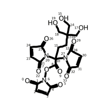 O=C1C=CC(=O)N1OC(=O)C(CCC(CO)(CO)CO)(N1C(=O)C=CC1=O)N1C(=O)C=CC1=O